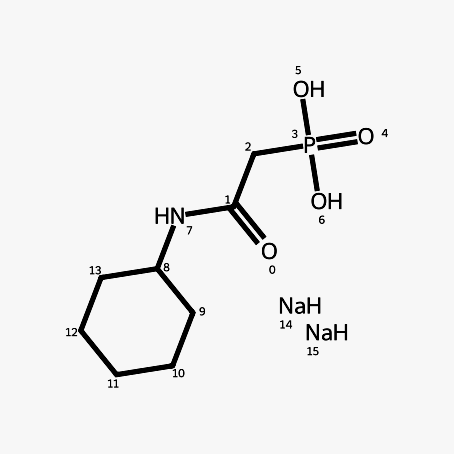 O=C(CP(=O)(O)O)NC1CCCCC1.[NaH].[NaH]